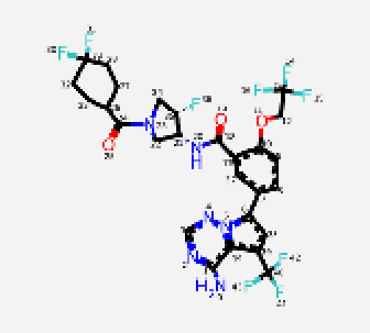 Nc1ncnn2c(-c3ccc(OCC(F)(F)F)c(C(=O)N[C@@H]4CN(C(=O)C5CCC(F)(F)CC5)C[C@@H]4F)c3)cc(C(F)(F)F)c12